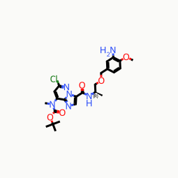 COc1ccc(COC[C@@H](C)NC(=O)c2cnc3c(N(C)C(=O)OC(C)(C)C)cc(Cl)nn23)cc1N